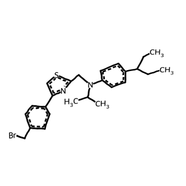 CCC(CC)c1ccc(N(Cc2nc(-c3ccc(CBr)cc3)cs2)C(C)C)cc1